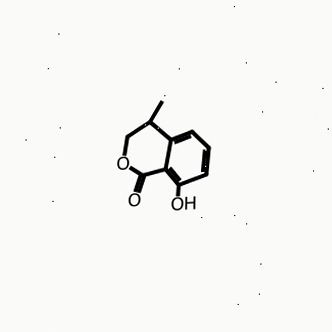 CC1COC(=O)c2c(O)cccc21